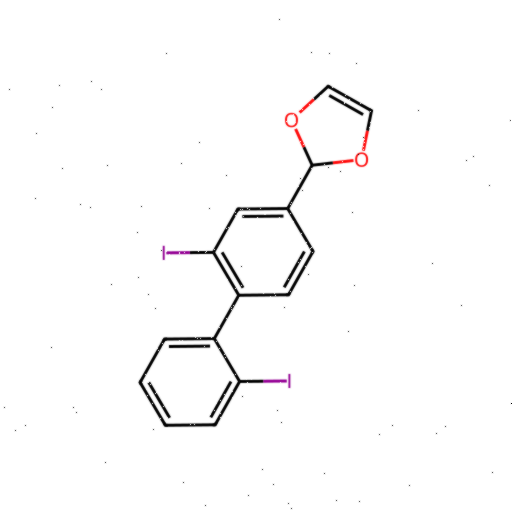 Ic1ccccc1-c1ccc(C2OC=CO2)cc1I